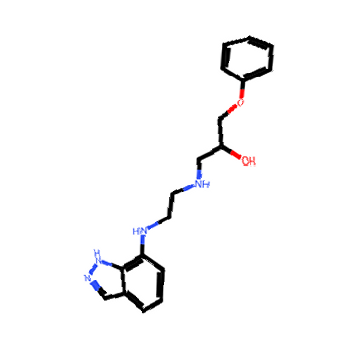 OC(CNCCNc1cccc2cn[nH]c12)COc1ccccc1